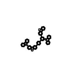 c1ccc2c(c1)oc1ccc(-c3cc(-c4ccc(-c5ccc6oc7ccc(-n8c9ccccc9c9ccccc98)cc7c6c5)cc4)cc(-n4c5ccccc5c5ccccc54)c3)cc12